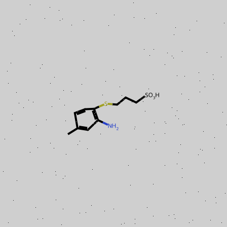 Cc1ccc(SCCCS(=O)(=O)O)c(N)c1